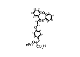 CCCOC(Cc1ccc(OCCC2Sc3ccccc3Oc3ccccc32)cc1)C(=O)O